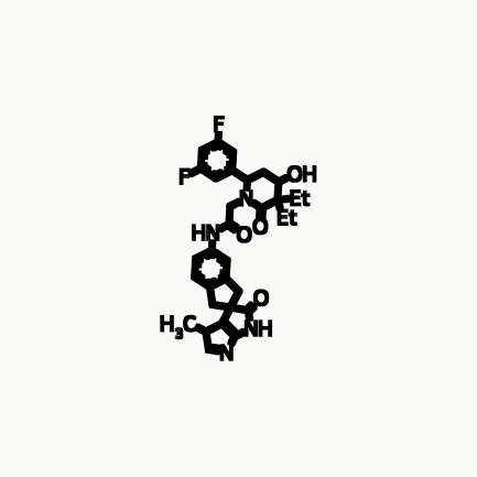 CCC1(CC)C(=O)N(CC(=O)Nc2ccc3c(c2)CC2(C3)C(=O)NC3=C2C(C)C=N3)C(c2cc(F)cc(F)c2)CC1O